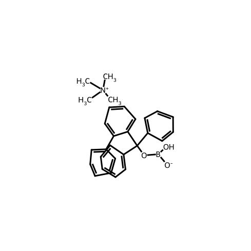 C[N+](C)(C)C.[O-]B(O)OC(c1ccccc1)(c1ccccc1)c1ccccc1-c1ccccc1